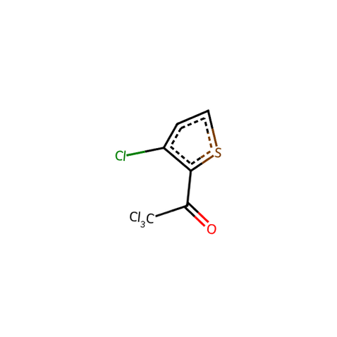 O=C(c1sccc1Cl)C(Cl)(Cl)Cl